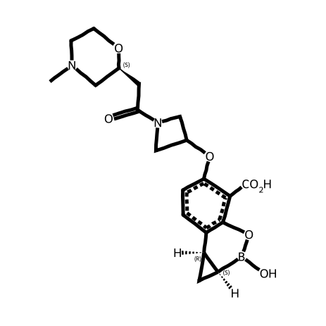 CN1CCO[C@@H](CC(=O)N2CC(Oc3ccc4c(c3C(=O)O)OB(O)[C@H]3C[C@@H]43)C2)C1